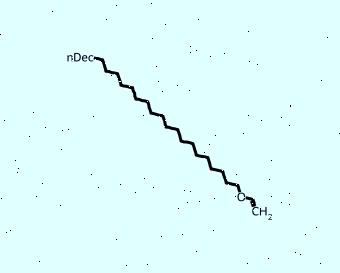 C=COCCCCCCCCCCCCCCCCCCCCCCCCCCCCC